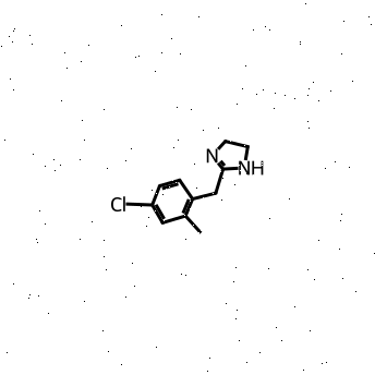 Cc1cc(Cl)ccc1CC1=NCCN1